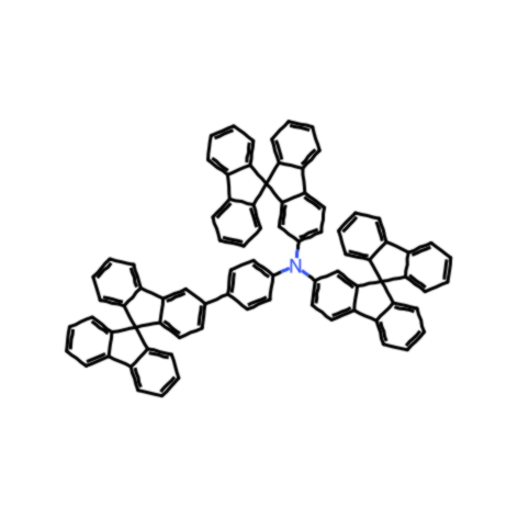 c1ccc2c(c1)-c1ccccc1C21c2ccccc2-c2cc(-c3ccc(N(c4ccc5c(c4)C4(c6ccccc6-c6ccccc64)c4ccccc4-5)c4ccc5c(c4)C4(c6ccccc6-c6ccccc64)c4ccccc4-5)cc3)ccc21